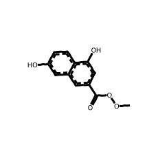 COOC(=O)c1cc(O)c2ccc(O)cc2c1